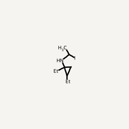 CCC1CC1(CC)NC(C)I